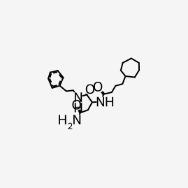 NC(=O)CC(NC(=O)CCCC1CCCCCC1)C(=O)NCCc1ccccc1